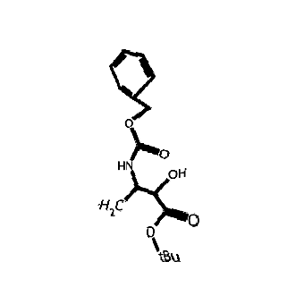 [CH2]C(NC(=O)OCc1ccccc1)C(O)C(=O)OC(C)(C)C